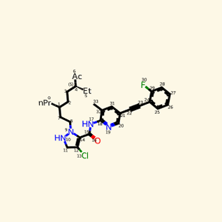 CCCC(CC[C@H](CC)C(C)=O)CCN1NCC(Cl)=C1C(=O)Nc1ncc(C#Cc2ccccc2F)cc1C